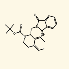 C/C=C1/CCN(C(=O)OC(C)(C)C)[C@H](CN2C(=O)c3ccccc3C2=O)/C1=C(/C)O